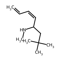 C=C/C=C\C(CC(C)(C)C)NC